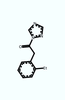 CCc1ccccc1CC(=O)n1cncn1